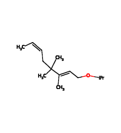 C/C=C\CC(C)(C)/C(C)=C/COC(C)C